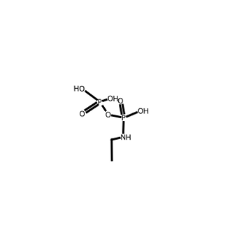 CCNP(=O)(O)OP(=O)(O)O